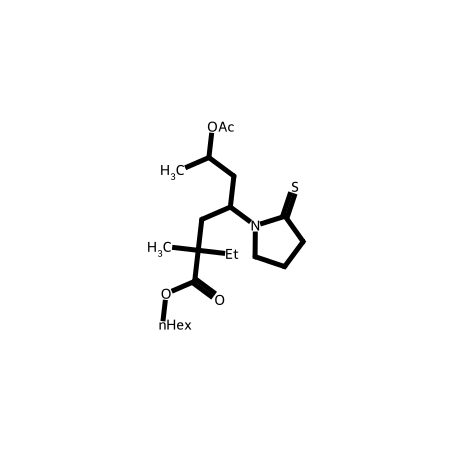 CCCCCCOC(=O)C(C)(CC)CC(CC(C)OC(C)=O)N1CCCC1=S